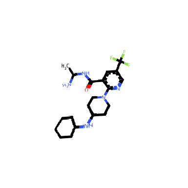 CC(N)NC(=O)c1cc(C(F)(F)F)cnc1N1CCC(NC2CCCCC2)CC1